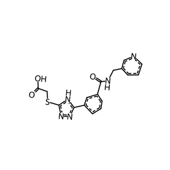 O=C(O)CSc1nnc(-c2cccc(C(=O)NCc3cccnc3)c2)[nH]1